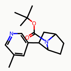 Cc1cncc(C2CC3CCC2N3C(=O)OC(C)(C)C)c1